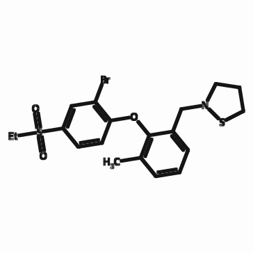 CCS(=O)(=O)c1ccc(Oc2c(C)cccc2CN2CCCS2)c(Br)c1